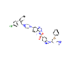 CN(C)CC[C@H](CSc1ccccc1)n1cnc2cc(S(=O)(=O)Nc3ncnc4cc(N5CCN(Cc6ccccc6-c6ccc(Cl)cc6)CC5)ccc34)ccc21